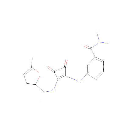 CC[C@@H](Nc1c(Nc2cccc(C(=O)N(C)C)c2)c(=O)c1=O)C1CC=C(C)O1